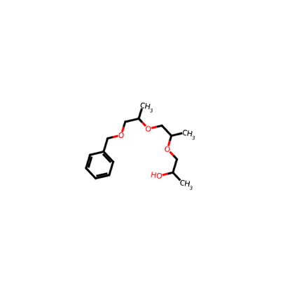 CC(O)COC(C)COC(C)COCc1ccccc1